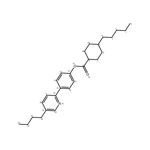 CCCCCC1CCC(C(=O)Oc2ccc(-c3ccc(CCCC)cn3)cc2)CC1